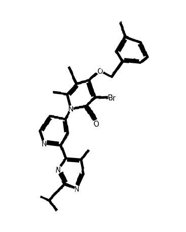 Cc1cccc(COc2c(C)c(C)n(-c3ccnc(-c4nc(C(C)C)ncc4C)c3)c(=O)c2Br)c1